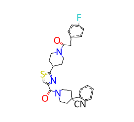 N#CC1(c2ccccc2)CCN(C(=O)c2csc(C3CCN(C(=O)Cc4ccc(F)cc4)CC3)n2)CC1